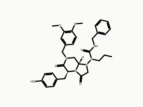 CCCN(C(=O)NCc1ccccc1)N1CC(=O)N2[C@@H](Cc3ccc(O)cc3)C(=O)N(Cc3ccc(OC)c(OC)c3)C[C@@H]21